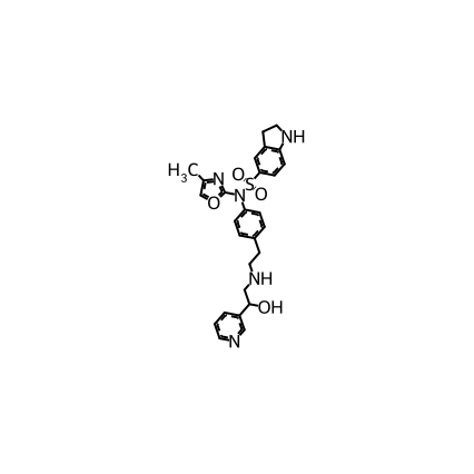 Cc1coc(N(c2ccc(CCNCC(O)c3cccnc3)cc2)S(=O)(=O)c2ccc3c(c2)CCN3)n1